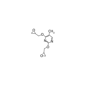 Cc1cnc(OCC2CO2)nc1OCC1CO1